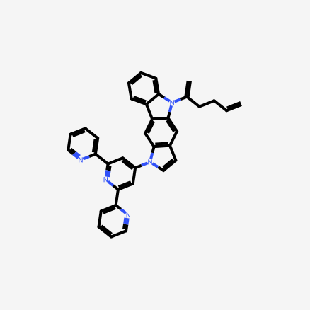 C=CCCC(=C)n1c2ccccc2c2cc3c(ccn3-c3cc(-c4ccccn4)nc(-c4ccccn4)c3)cc21